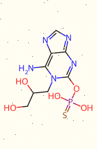 Nc1c2ncnc-2nc(OP(O)(O)=S)n1CC(O)CO